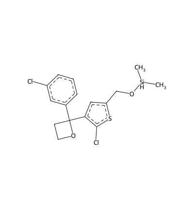 C[SiH](C)OCc1cc(C2(c3cccc(Cl)c3)CCO2)c(Cl)s1